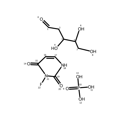 O=CCC(O)C(O)CO.O=P(O)(O)O.O=c1cc[nH]c(=O)n1F